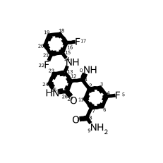 N=C(c1cc(F)cc(C(N)=O)c1)c1c(Nc2c(F)cccc2F)cc[nH]c1=O